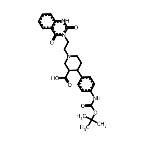 CC(C)(C)OC(=O)Nc1ccc(C2CCN(CCn3c(=O)[nH]c4ccccc4c3=O)CC2C(=O)O)cc1